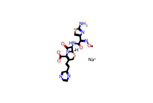 CO/N=C(\C(=O)N[C@@H]1C(=O)N2C(C(=O)[O-])=C(/C=C/c3cnccn3)CS[C@H]12)c1csc(N)n1.[Na+]